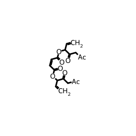 C=CC(OC(=O)/C=C\C(=O)OC(C=C)C(=O)CC(C)=O)C(=O)CC(C)=O